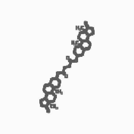 C[C@]12CC[C@H](OC(=O)CCC(=O)OC3CC[C@]4(C)C(=CCC5C6CCC(=O)[C@]6(C)CCC54)C3)CC1=CCC1C2CC[C@]2(C)C(=O)CCC12